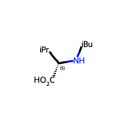 CCC(C)N[C@H](C(=O)O)C(C)C